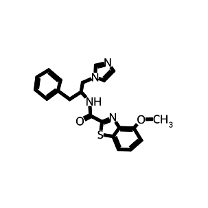 COc1cccc2sc(C(=O)NC(Cc3ccccc3)Cn3ccnc3)nc12